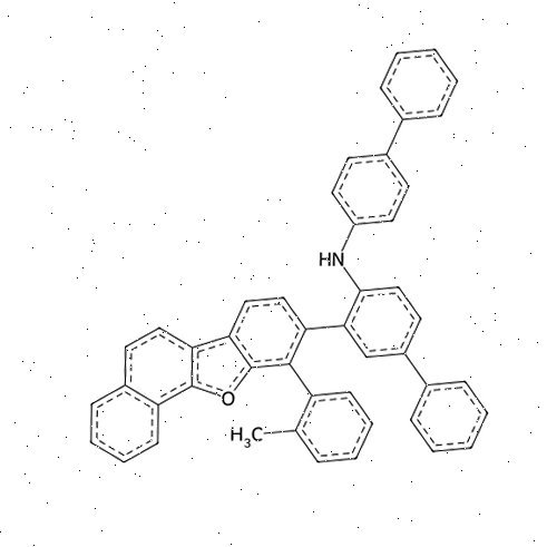 Cc1ccccc1-c1c(-c2cc(-c3ccccc3)ccc2Nc2ccc(-c3ccccc3)cc2)ccc2c1oc1c3ccccc3ccc21